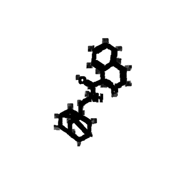 O=C(NCC12CC3CC(CC(C3)C1)C2)c1nccc2ccccc12